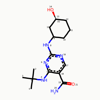 CC(C)(C)Nc1nc(NC2CCC[C@H](O)C2)ncc1C(N)=O